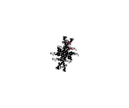 CCOCCC(C(=O)N(CCC(=O)NCC1CO1)CCC(=O)NCC1CO1)N1C(=O)c2cc(Oc3ccc(CC)cc3)c3c4c(Oc5ccc(CC)cc5)cc5c6c(cc(Oc7ccc(CC)cc7)c(c7c(Oc8ccc(CC)cc8)cc(c2c37)C1=O)c64)C(=O)N(C(CCOCC)C(=O)N(CCC(=O)NCC1CO1)CCC(=O)NCC1CO1)C5=O